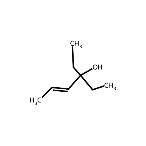 CC=CC(O)(CC)CC